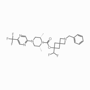 C[C@@H]1CN(c2cnc(C(F)(F)F)cn2)C[C@H](C)N1C(=O)OC1(C(F)F)CC2(CN(Cc3ccccc3)C2)C1